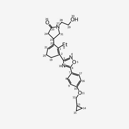 CCC1=C(c2noc(-c3ccc(OCC4CC4)cc3)n2)CCC=C1C1CC(=O)N(CCO)C1